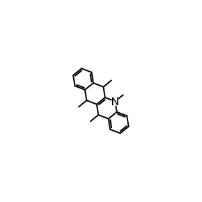 CC1C2=C(C(C)c3ccccc31)N(C)c1ccccc1C2C